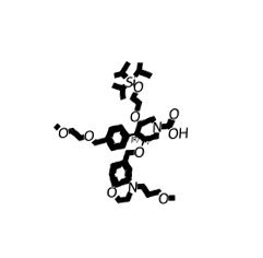 COCCCN1CCOc2ccc(CO[C@H]3CN(C(=O)O)C[C@@H](OCCO[Si](C(C)C)(C(C)C)C(C)C)[C@@H]3c3ccc(COCCOC)cc3)cc21